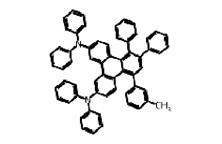 Cc1cccc(-c2cc(-c3ccccc3)c(-c3ccccc3)c3c4ccc(N(c5ccccc5)c5ccccc5)cc4c4cc(N(c5ccccc5)c5ccccc5)ccc4c23)c1